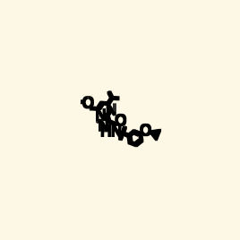 COCc1cc(C(C)C)nc2c(C(=O)NC(C)(C)c3cccc(OC4CC4)c3)ncn12